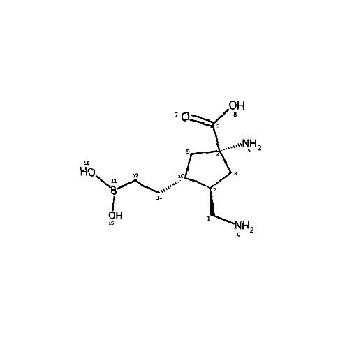 NC[C@@H]1C[C@](N)(C(=O)O)C[C@H]1CCB(O)O